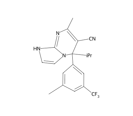 CC1=C(C#N)C(c2cc(C)cc(C(F)(F)F)c2)(C(C)C)N2C=CNC2=N1